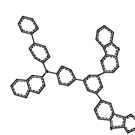 c1ccc(-c2ccc(N(c3ccc(-c4cc(-c5ccc6sc7ccccc7c6c5)cc(-c5ccc6sc7ccccc7c6c5)c4)cc3)c3ccc4ccccc4c3)cc2)cc1